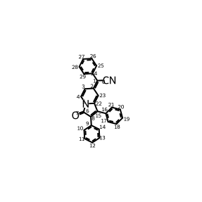 N#CC(=C1C=CN2C(=O)C(c3ccccc3)=C(c3ccccc3)C2=C1)c1ccccc1